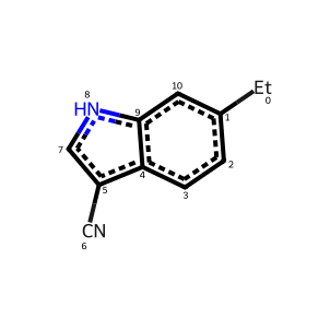 CCc1ccc2c(C#N)c[nH]c2c1